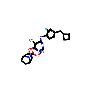 Cc1c(Nc2ccc(CC3CCC3)cc2F)ncnc1O[C@H]1CC2CCC1N2C(=O)OC(C)C